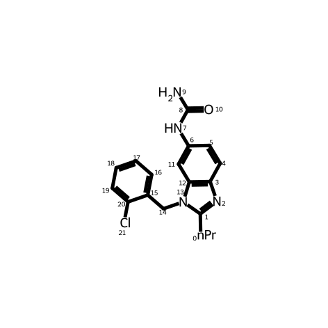 CCCc1nc2ccc(NC(N)=O)cc2n1Cc1ccccc1Cl